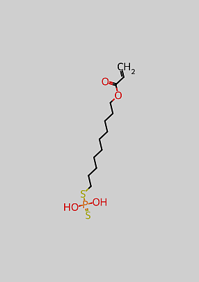 C=CC(=O)OCCCCCCCCCCSP(O)(O)=S